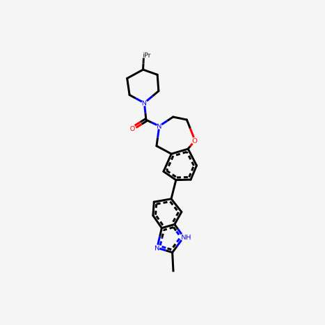 Cc1nc2ccc(-c3ccc4c(c3)CN(C(=O)N3CCC(C(C)C)CC3)CCO4)cc2[nH]1